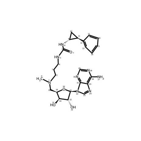 CN(CCCNC(=O)N[C@@H]1C[C@H]1c1ccccc1)C[C@H]1O[C@@H](n2cnc3c(N)ncnc32)[C@H](O)[C@H]1O